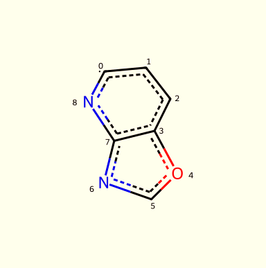 [c]1ccc2ocnc2n1